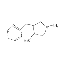 COC1CN(C)CC1Cc1ccccc1